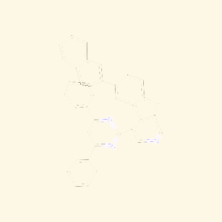 c1ccc(-c2cc(-c3ccccc3)nc(-c3cncc4sc5ccc(-c6ccc7ccccc7c6)cc5c34)n2)cc1